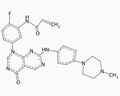 C=CC(=O)Nc1cc(-n2cnc(=O)c3cnc(Nc4ccc(N5CCN(C)CC5)cc4)nc32)ccc1F